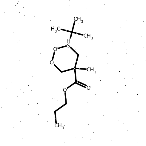 CCCOC(=O)C1(C)COO[SH](C(C)(C)C)C1